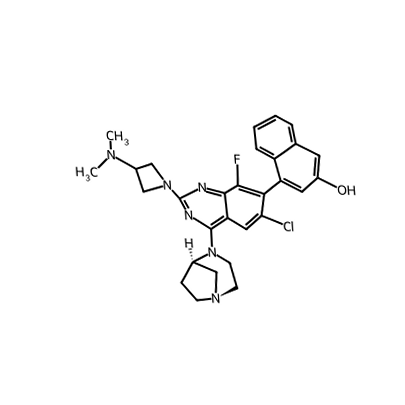 CN(C)C1CN(c2nc(N3CC[N@@]4CC[C@@H]3C4)c3cc(Cl)c(-c4cc(O)cc5ccccc45)c(F)c3n2)C1